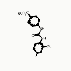 CCOC(=O)c1ccc(NC(=O)Nc2ccc(F)cc2C(F)(F)F)cc1